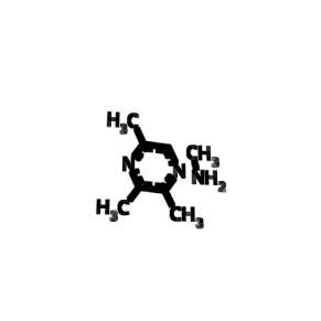 CN.Cc1cnc(C)c(C)n1